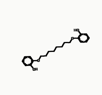 Oc1ccccc1OCCCCCCCCOc1ccccc1O